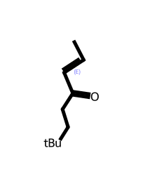 C/C=C/C(=O)CCC(C)(C)C